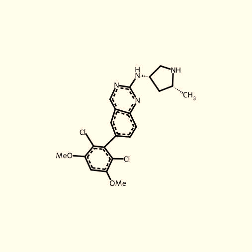 COc1cc(OC)c(Cl)c(-c2ccc3nc(N[C@@H]4CN[C@H](C)C4)ncc3c2)c1Cl